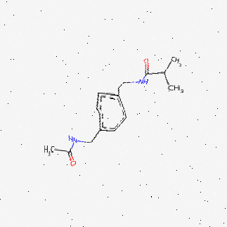 CC(=O)NCc1ccc(CNC(=O)C(C)C)cc1